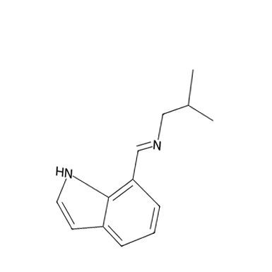 CC(C)C/N=C/c1cccc2cc[nH]c12